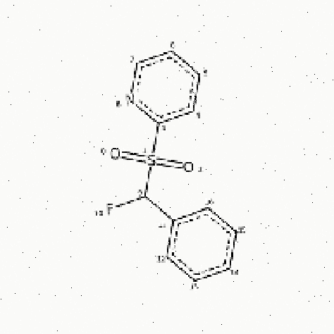 O=S(=O)(c1ccccn1)C(F)c1ccccc1